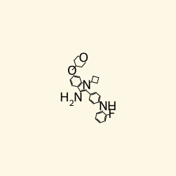 Nc1c(-c2ccc(Nc3ccccc3F)cc2)n(C2CCC2)c2cc(OC3CCOCC3)ccc12